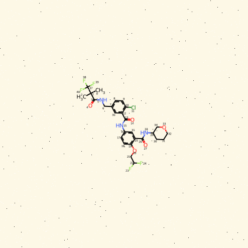 CC(C)(C(=O)NCc1ccc(Cl)c(C(=O)Nc2ccc(OCC(F)F)c(C(=O)NC3CCCOC3)c2)c1)C(F)(F)F